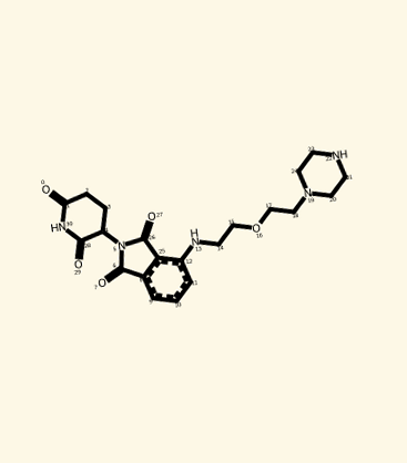 O=C1CCC(N2C(=O)c3cccc(NCCOCCN4CCNCC4)c3C2=O)C(=O)N1